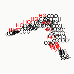 O.O.O.O.O.O.O=C(O)CC(O)(CC(=O)O)C(=O)[O-].O=C([O-])CC(O)(CC(=O)O)C(=O)[O-].O=C([O-])CC(O)(CC(=O)[O-])C(=O)[O-].O=C([O-])CC(O)(CC(=O)[O-])C(=O)[O-].O=C([O-])CC(O)(CC(=O)[O-])C(=O)[O-].O=C([O-])CC(O)(CC(=O)[O-])C(=O)[O-].O=C([O-])CC(O)(CC(=O)[O-])C(=O)[O-].[Ca+2].[Ca+2].[Ca+2].[Ca+2].[Ca+2].[Ca+2].[Na+].[Na+].[Na+].[Na+].[Na+].[Na+]